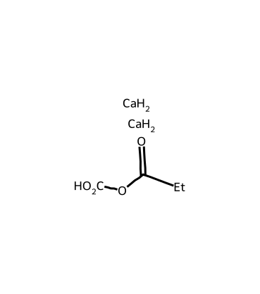 CCC(=O)OC(=O)O.[CaH2].[CaH2]